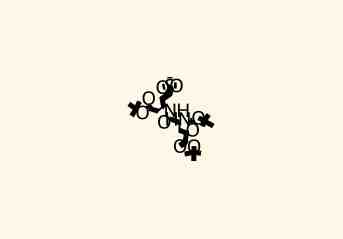 CC(C)(C)OC(=O)CC[C@H](NC(=O)OC(C)(C)C)C(=O)N[C@H](/C=C/S(C)(=O)=O)CC(=O)OC(C)(C)C